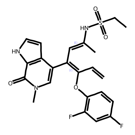 C=C/C(Oc1ccc(F)cc1F)=C(\C=C(/C)NS(=O)(=O)CC)c1cn(C)c(=O)c2[nH]ccc12